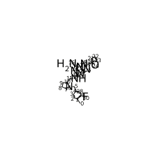 Cc1ccc(CN2CCCC2CNc2nc(N)n3nc(-c4ccco4)nc3n2)cc1F